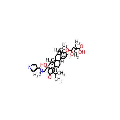 CC(C)C1=C2[C@H]3CC[C@@H]4[C@@]5(C)CC[C@H](OC(=O)CC(C)(C)C(=O)O)C(C)(C)[C@@H]5CC[C@@]4(C)[C@]3(C)CC[C@@]2([C@@H](O)CN(C)Cc2ccncc2)CC1=O